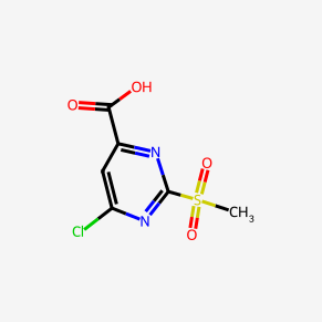 CS(=O)(=O)c1nc(Cl)cc(C(=O)O)n1